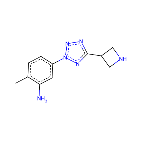 Cc1ccc(-n2nnc(C3CNC3)n2)cc1N